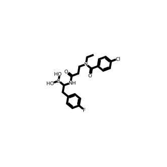 CCN(CCC(=O)NC(Cc1ccc(F)cc1)B(O)O)C(=O)c1ccc(Cl)cc1